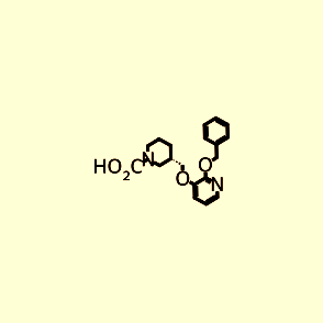 O=C(O)N1CCC[C@H](COc2cccnc2OCc2ccccc2)C1